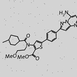 COCCN(C(=O)C1CCC(C)CC1)c1cc(-c2ccc(-c3cc4nccc(N)n4n3)cc2)sc1C(=O)OC